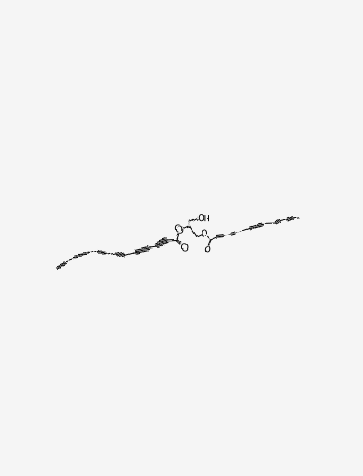 C#CC#CC#CC#CC#CC#CC(=O)O[C@H](CO)COC(=O)C#CC#CC#CC#CC#CC